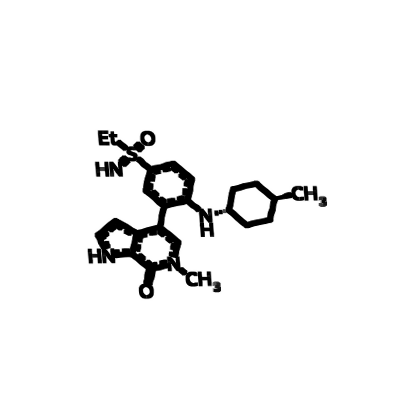 CCS(=N)(=O)c1ccc(N[C@H]2CC[C@H](C)CC2)c(-c2cn(C)c(=O)c3[nH]ccc23)c1